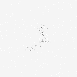 Cc1cnn(C2COC2)c1C1CCN(c2cc(N3C[C@@H](N4CCN(C(=O)OC(C)(C)C)CC4)[C@H]3C)nc(C(F)(F)F)n2)[C@H]2C[C@@H]12